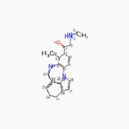 CNCC(=O)C1C=CC2=C(N=CC3=CCCc4ccn2c43)C1C